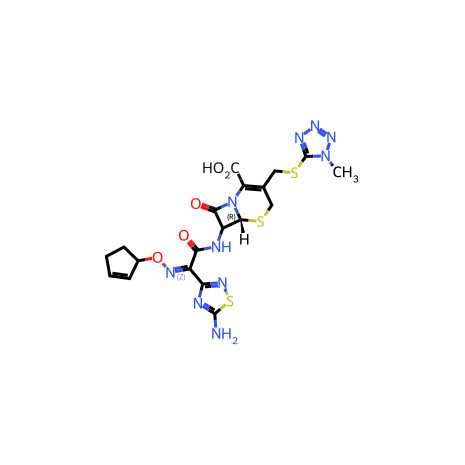 Cn1nnnc1SCC1=C(C(=O)O)N2C(=O)C(NC(=O)/C(=N\OC3C=CCC3)c3nsc(N)n3)[C@H]2SC1